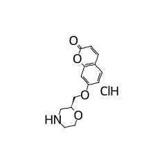 Cl.O=c1ccc2ccc(OC[C@@H]3CNCCO3)cc2o1